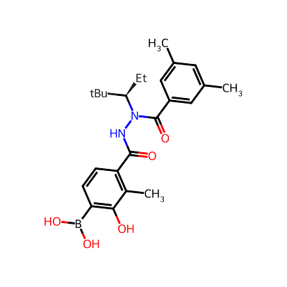 CC[C@@H](N(NC(=O)c1ccc(B(O)O)c(O)c1C)C(=O)c1cc(C)cc(C)c1)C(C)(C)C